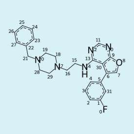 Fc1cccc(-c2coc3ncnc(NCCN4CCN(Cc5ccccc5)CC4)c23)c1